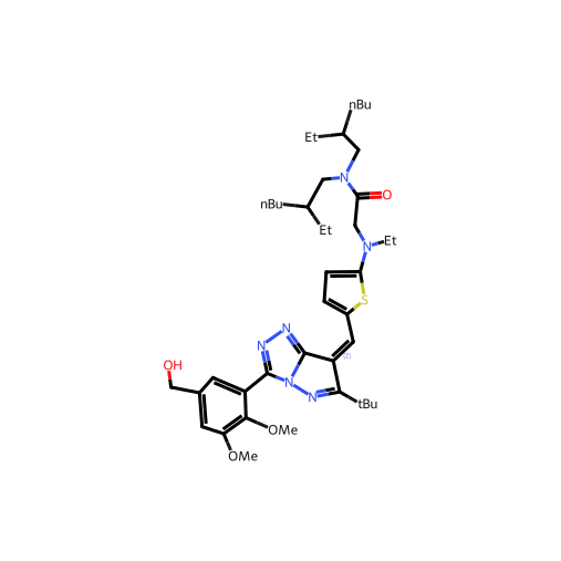 CCCCC(CC)CN(CC(CC)CCCC)C(=O)CN(CC)c1ccc(/C=c2/c(C(C)(C)C)nn3c(-c4cc(CO)cc(OC)c4OC)nnc23)s1